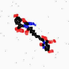 NC(=O)N(C(=O)CCCCCCCCC(=O)N(C(N)=O)C(C(=O)O)c1ccc(O)cc1)C(C(=O)O)c1ccc(O)cc1